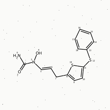 NC(=O)N(O)C=CCc1ccc(Sc2ccccc2)s1